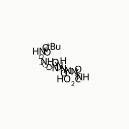 CC(Cc1ccc(-n2ccc(NC(=O)N3CCN(C(=O)C(C)(C)NC(=O)O)CC3)nc2=O)cc1)N[C@H]1CC[C@H](NC(=O)OC(C)(C)C)C1